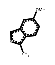 COc1ccc2c(C)scc2c1